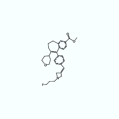 COC(=O)c1ccc2c(c1)CCCC(C1CCOCC1)=C2c1ccc(C=C2CN(CCCF)C2)cc1